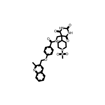 Cc1nc2ccccc2cc1COc1ccc(C(=O)NCC2(C3CCN(S(C)(=O)=O)CC3)C(=O)NC(=O)NC2=O)cc1